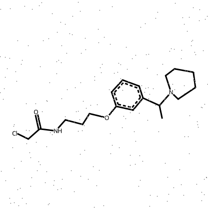 CC(c1cccc(OCCCNC(=O)CCl)c1)N1CCCCC1